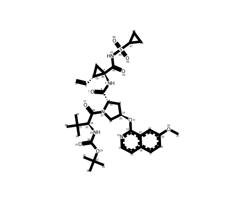 C=C[C@@H]1C[C@]1(NC(=O)[C@@H]1C[C@@H](Oc2nccc3ccc(OC)cc23)CN1C(=O)[C@@H](NC(=O)OC(C)(C)C)C(C)(C)C)C(=O)NS(=O)(=O)C1CC1